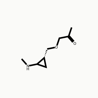 CNC1C[C@H]1COCC(C)=O